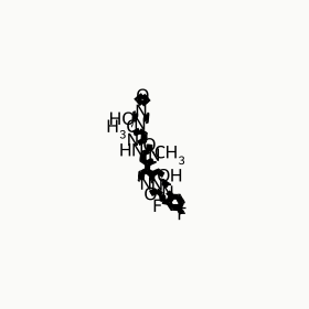 Cn1cc(-c2ccnc(-n3ccn4c(c(F)c5cc(F)ccc54)c3=O)c2CO)cc(Nc2ccc(N3CCN(C4COC4)C[C@]3(C)O)cn2)c1=O